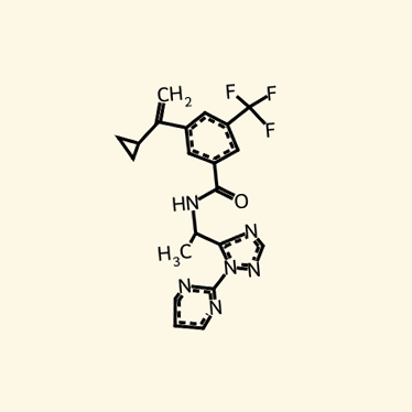 C=C(c1cc(C(=O)NC(C)c2ncnn2-c2ncccn2)cc(C(F)(F)F)c1)C1CC1